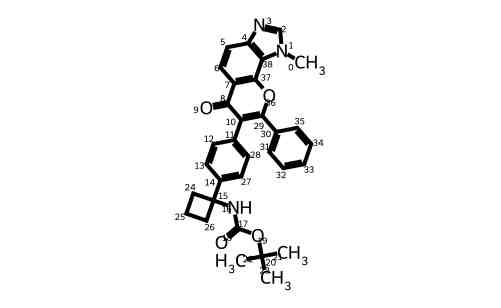 Cn1cnc2ccc3c(=O)c(-c4ccc(C5(NC(=O)OC(C)(C)C)CCC5)cc4)c(-c4ccccc4)oc3c21